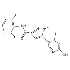 Cc1cc(O)ncc1-c1cc(C(=O)Nc2c(F)cccc2F)nn1C